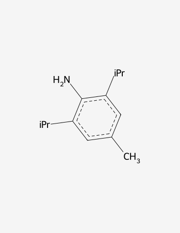 Cc1cc(C(C)C)c(N)c(C(C)C)c1